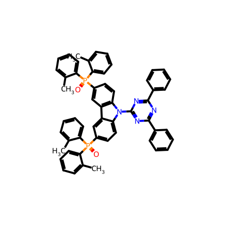 Cc1ccccc1P(=O)(c1ccc2c(c1)c1cc(P(=O)(c3ccccc3C)c3ccccc3C)ccc1n2-c1nc(-c2ccccc2)nc(-c2ccccc2)n1)c1ccccc1C